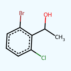 CC(O)c1c(Cl)cccc1Br